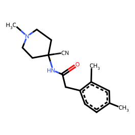 Cc1ccc(CC(=O)NC2(C#N)CCN(C)CC2)c(C)c1